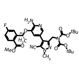 COC(=O)c1ccc(F)cc1[C@@H](C)Oc1cc(-c2c(CN(C(=O)OC(C)(C)C)C(=O)OC(C)(C)C)nn(C)c2C#N)cnc1N